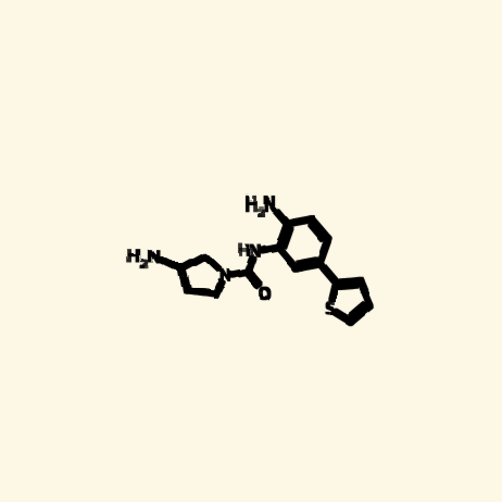 Nc1ccc(-c2cccs2)cc1NC(=O)N1CCC(N)C1